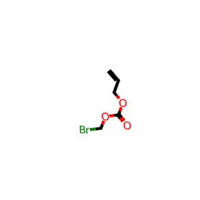 C=CCOC(=O)OCBr